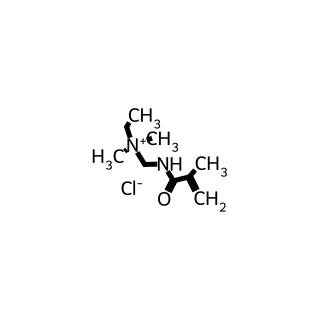 C=C(C)C(=O)NC[N+](C)(C)CC.[Cl-]